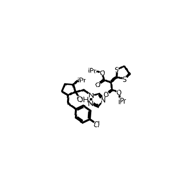 CC(C)C1CCC(Cc2ccc(Cl)cc2)C1(O)Cn1cncn1.CC(C)OC(=O)C(C(=O)OC(C)C)=C1SCCS1